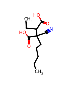 CCCCCC(C#N)(C(=O)O)C(CC)C(=O)O